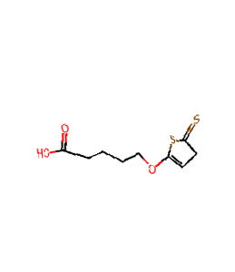 O=C(O)CCCCOC1=CCC(=S)S1